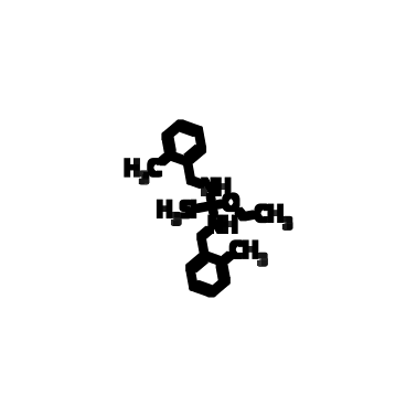 CCOC([SiH3])(NCc1ccccc1C)NCc1ccccc1C